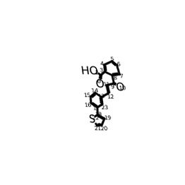 O=C(O)c1ccccc1C(=O)C=Cc1cccc(-c2cccs2)c1